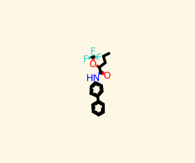 CCCC(OC(F)(F)F)C(=O)Nc1ccc(-c2ccccc2)cc1